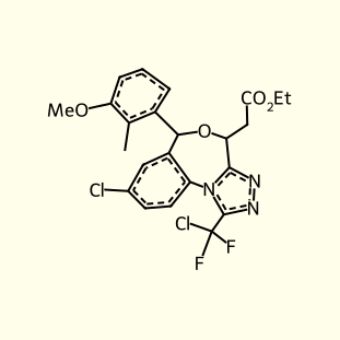 CCOC(=O)CC1OC(c2cccc(OC)c2C)c2cc(Cl)ccc2-n2c1nnc2C(F)(F)Cl